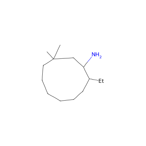 CCC1CCCCCCC(C)(C)CC1N